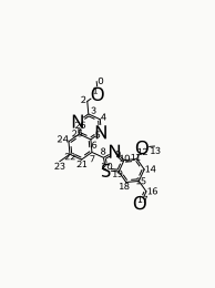 COCc1cnc2c(-c3nc4c(OC)cc(C=O)cc4s3)cc(C)cc2n1